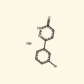 Br.O=c1ccc(-c2cccc(Br)c2)n[nH]1